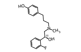 CN(CCCc1ccc(O)cc1)C[C@@H](O)c1ccccc1F